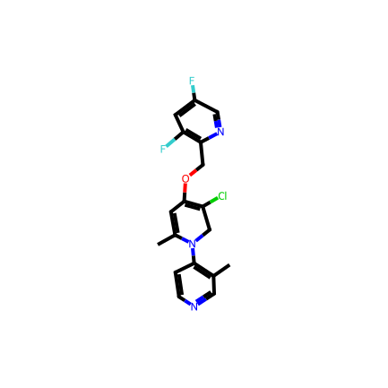 CC1=CC(OCc2ncc(F)cc2F)=C(Cl)CN1c1ccncc1C